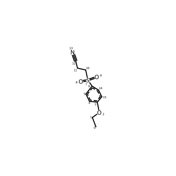 CCOc1ccc(S(=O)(=O)CCC#N)cc1